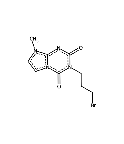 Cn1ccn2c(=O)n(CCCBr)c(=O)nc12